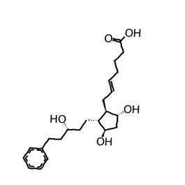 O=C(O)CCC/C=C/C[C@@H]1[C@@H](CC[C@@H](O)CCc2ccccc2)[C@H](O)C[C@H]1O